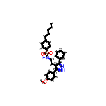 CCCCCc1ccc(S(=O)(=O)NCCc2c(-c3ccccc3)n[nH]c2-c2ccc(OC)cc2)cc1